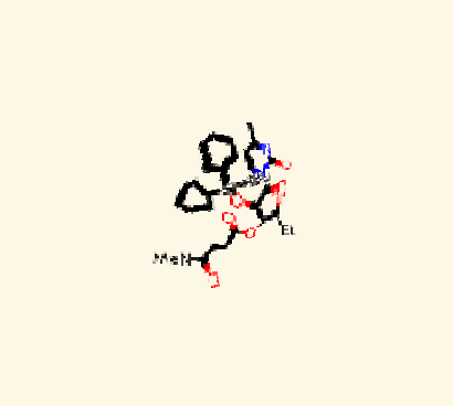 CC[C@H]1O[C@@H](n2ccc(C)nc2=O)C(O[Si](c2ccccc2)(c2ccccc2)C(C)(C)C)[C@H]1OC(=O)CCC(=O)NC